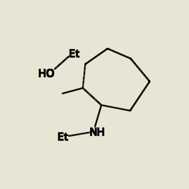 CCNC1CCCCCC1C.CCO